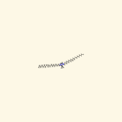 CCCCCCCCCCCCCCCCCCCN1C=CN(CCCCCCCCCCCCCCCCCCC)C1C(C)C